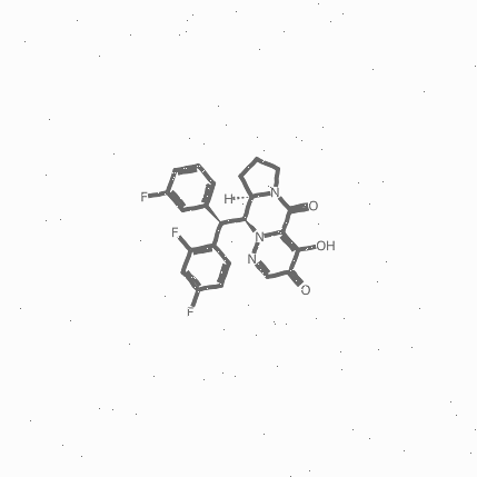 O=C1c2c(O)c(=O)cnn2[C@@H]([C@H](c2cccc(F)c2)c2ccc(F)cc2F)[C@H]2CCCN12